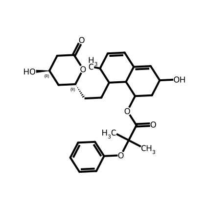 CC1C=CC2=CC(O)CC(OC(=O)C(C)(C)Oc3ccccc3)C2C1CC[C@@H]1C[C@@H](O)CC(=O)O1